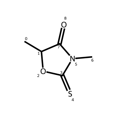 CC1OC(=S)N(C)C1=O